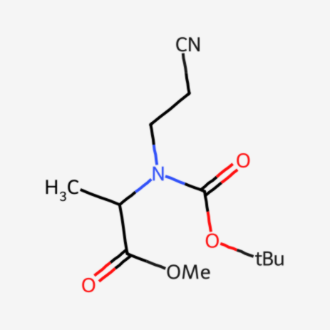 COC(=O)C(C)N(CCC#N)C(=O)OC(C)(C)C